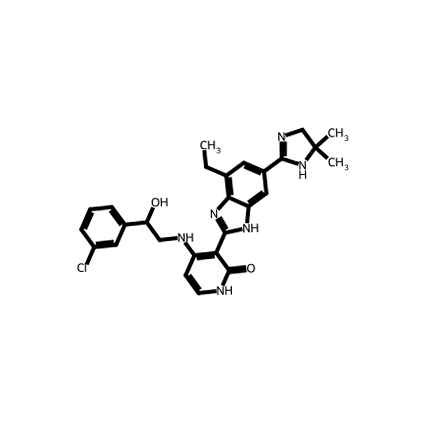 CCc1cc(C2=NCC(C)(C)N2)cc2[nH]c(-c3c(NCC(O)c4cccc(Cl)c4)cc[nH]c3=O)nc12